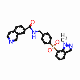 Cn1ncc2cccc(S(=O)(=O)c3ccc(CNC(=O)c4ccc5ccncc5c4)cc3)c21